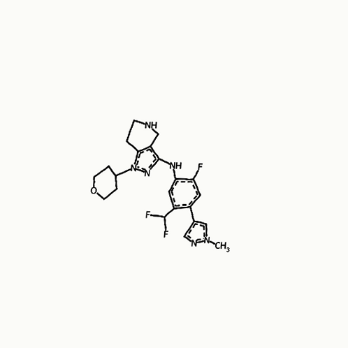 Cn1cc(-c2cc(F)c(Nc3nn(C4CCOCC4)c4c3CNCC4)cc2C(F)F)cn1